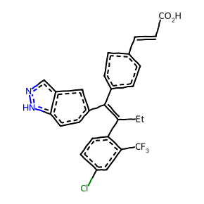 CCC(=C(c1ccc(C=CC(=O)O)cc1)c1ccc2[nH]ncc2c1)c1ccc(Cl)cc1C(F)(F)F